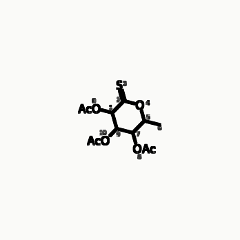 CC(=O)OC1C(=S)OC(C)C(OC(C)=O)C1OC(C)=O